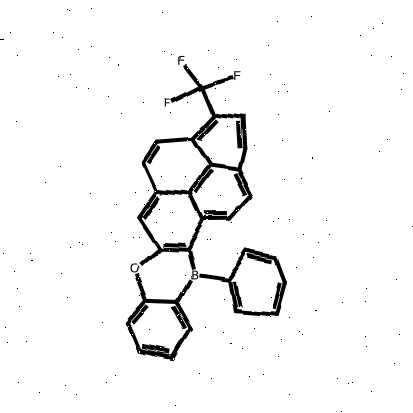 FC(F)(F)c1ccc2ccc3c4c(cc5ccc1c2c53)Oc1ccccc1B4c1ccccc1